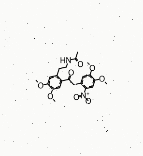 COc1cc(CCNC(C)=O)c(C(=O)Cc2cc(OC)c(OC)cc2[N+](=O)[O-])cc1OC